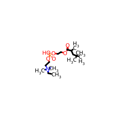 CC[N+](C)(C)CCOP(=O)(O)OCCOC(=O)C(C)CC(C)(C)C